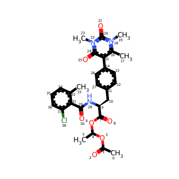 CC(=O)OC(C)OC(=O)[C@H](Cc1ccc(-c2c(C)n(C)c(=O)n(C)c2=O)cc1)NC(=O)c1c(C)cccc1Cl